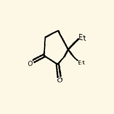 CCC1(CC)CCC(=O)C1=O